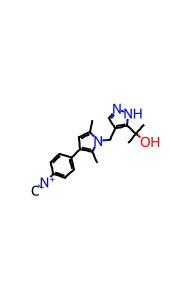 [C-]#[N+]c1ccc(-c2cc(C)n(Cc3cn[nH]c3C(C)(C)O)c2C)cc1